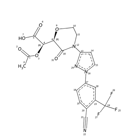 CC(=O)O[C@@H](C(=O)O)[C@H]1OCCN(c2ccn(-c3ccc(C#N)c(C(F)(F)F)c3)n2)C1=O